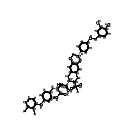 Cc1nccc(Oc2ccc(C[C@H](NC(=O)[C@@H]3Cc4cc5c(cc4CN3S(C)(=O)=O)O[C@@H](c3ccc(OCc4ccc(Cl)c(Cl)c4)cc3)CO5)C(=O)O)cc2)c1C